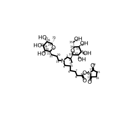 CC(CN(CCCCCC(=O)ON1C(=O)CCC1=O)CCC[C@@H]1O[C@@H](C)[C@@H](O)[C@@H](O)[C@@H]1O)[C@H]1O[C@H](CO)[C@@H](O)[C@H](O)[C@@H]1O